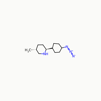 C[C@@H]1CC[C@@H](C2CCC(N=[N+]=[N-])CC2)NC1